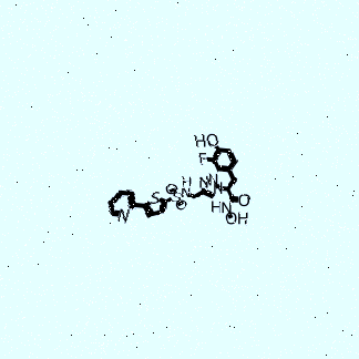 O=C(NO)C(Cc1ccc(O)c(F)c1)n1cc(CNS(=O)(=O)c2ccc(-c3ccccn3)s2)nn1